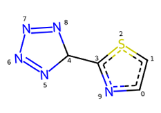 c1csc(C2N=NN=N2)n1